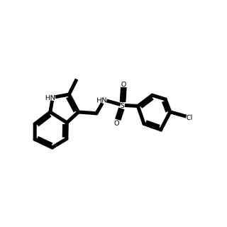 Cc1[nH]c2ccccc2c1CNS(=O)(=O)c1ccc(Cl)cc1